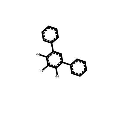 [2H]c1c(-c2ccccc2)cc(-c2ccccc2)c([2H])c1[2H]